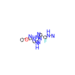 CN(C)CCNc1cc(F)cc(-c2ccnc3[nH]c(-c4n[nH]c5ccc(-c6cncc(OCc7ccccc7)c6)nc45)nc23)c1